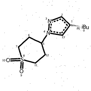 CC[C@@H](C)c1cnn(C2CCS(=O)(=O)CC2)c1